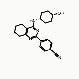 N#Cc1ccc(-c2nc3c(c(N[C@H]4CC[C@H](O)CC4)n2)CCCC3)cc1